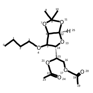 CCCCOC1C2OC(C)(C)O[C@H]2O[C@@H]1C(COC(C)=O)OC(C)=O